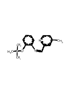 Cc1ccnc(/C=N\c2ccccc2O[Si](C)(C)C)c1